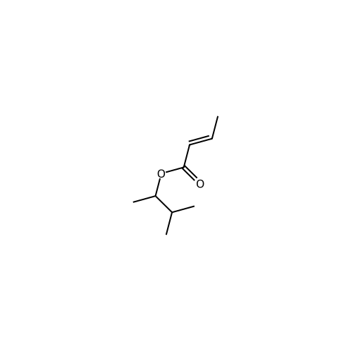 CC=CC(=O)OC(C)C(C)C